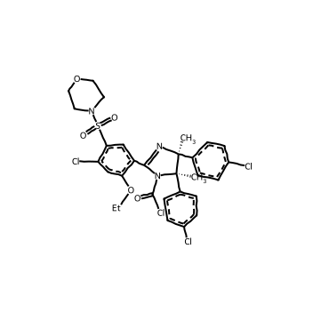 CCOc1cc(Cl)c(S(=O)(=O)N2CCOCC2)cc1C1=N[C@@](C)(c2ccc(Cl)cc2)[C@@](C)(c2ccc(Cl)cc2)N1C(=O)Cl